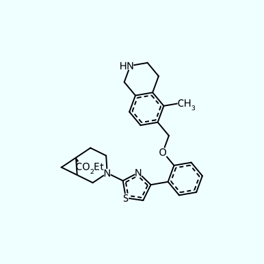 CCOC(=O)[C@@]12CCN(c3nc(-c4ccccc4OCc4ccc5c(c4C)CCNC5)cs3)CC1C2